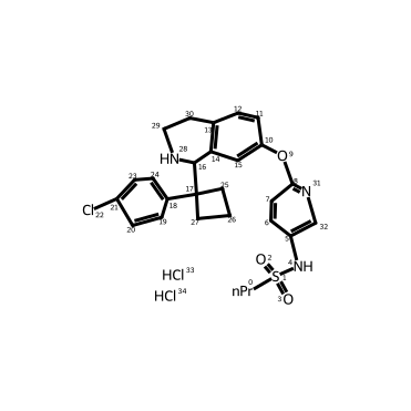 CCCS(=O)(=O)Nc1ccc(Oc2ccc3c(c2)C(C2(c4ccc(Cl)cc4)CCC2)NCC3)nc1.Cl.Cl